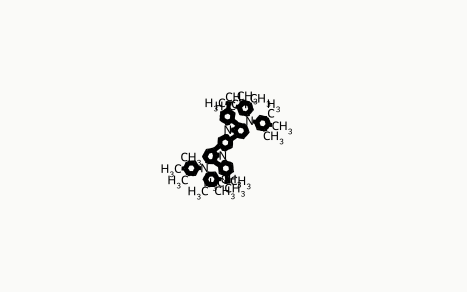 Cc1cc(N(c2cc(C)c(C)c(C)c2)c2ccc3c4cc5c(cc4n4c6ccc(C(C)(C)C)cc6c2c34)c2ccc(N(c3cc(C)c(C)c(C)c3)c3cc(C)c(C)c(C)c3)c3c4cc(C(C)(C)C)ccc4n5c23)cc(C)c1C